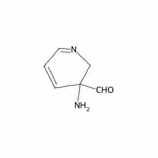 NC1(C=O)C=CC=NC1